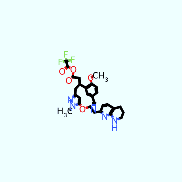 COc1ccc(C#N)cc1C(CC(=O)OC(=O)C(F)(F)F)Cc1cc(OCCc2ccc3c(n2)NCCC3)n(C)n1